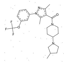 Cc1nn(-c2cccc(OC(F)(F)F)c2)c(C)c1C(=O)N1CCC(N2CCC(C)C2)CC1